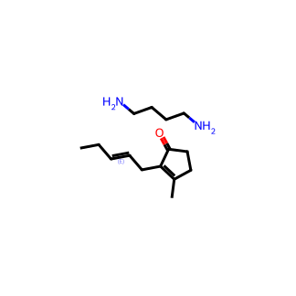 CC/C=C/CC1=C(C)CCC1=O.NCCCCN